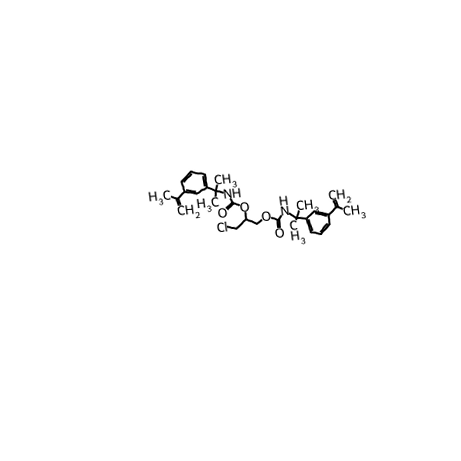 C=C(C)c1cccc(C(C)(C)NC(=O)OCC(CCl)OC(=O)NC(C)(C)c2cccc(C(=C)C)c2)c1